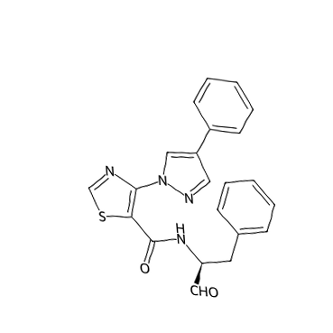 O=C[C@H](Cc1ccccc1)NC(=O)c1scnc1-n1cc(-c2ccccc2)cn1